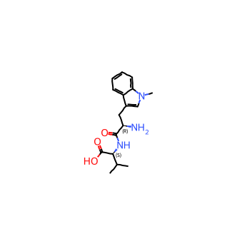 CC(C)[C@H](NC(=O)[C@H](N)Cc1cn(C)c2ccccc12)C(=O)O